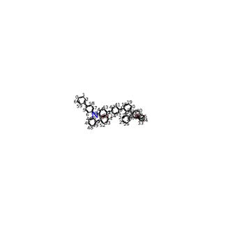 c1ccc(-c2ccc(N(c3ccc(-c4ccc(-c5cccc6c5-c5ccccc5C65C6CCC7CC8CC5C7C8C6)cc4)cc3)c3ccccc3-c3ccccc3)cc2)cc1